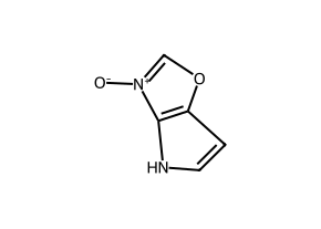 [O-][n+]1coc2cc[nH]c21